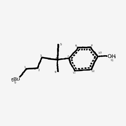 CC(C)(C)CCCC(C)(C)c1ccc(O)cc1